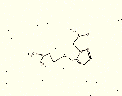 CC(C)CCCCc1cnnn1CC(C)C